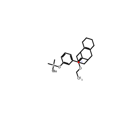 CC(C)(C)[Si](C)(C)Oc1cccc(/C(OCC(F)(F)F)=C2/C3CCCC2C2=C(CCCC2)C3)c1